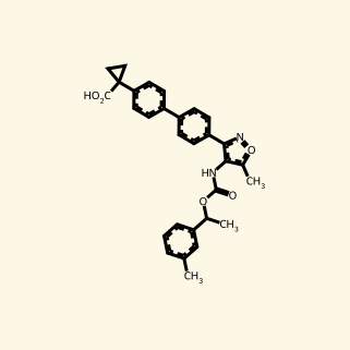 Cc1cccc(C(C)OC(=O)Nc2c(-c3ccc(-c4ccc(C5(C(=O)O)CC5)cc4)cc3)noc2C)c1